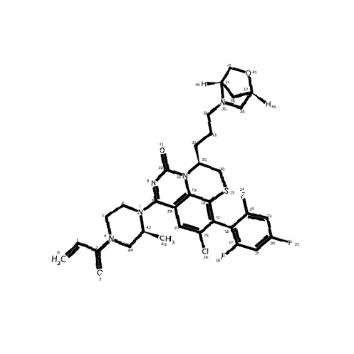 C=CC(=O)N1CCN(c2nc(=O)n3c4c(c(-c5c(F)cc(F)cc5F)c(Cl)cc24)SC[C@@H]3CCCN2C[C@@H]3C[C@H]2CO3)[C@@H](C)C1